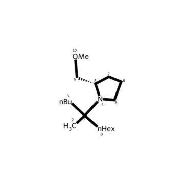 CCCCCCC(C)(CCCC)N1CCC[C@H]1COC